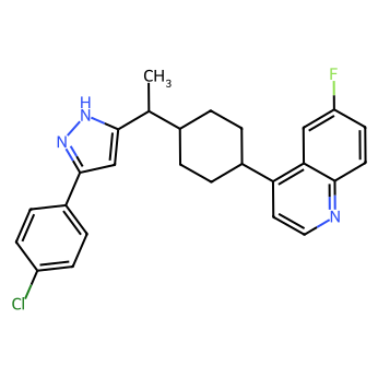 CC(c1cc(-c2ccc(Cl)cc2)n[nH]1)C1CCC(c2ccnc3ccc(F)cc23)CC1